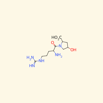 N=C(N)NCCCC(N)C(=O)N1CC(O)CC1C(=O)O